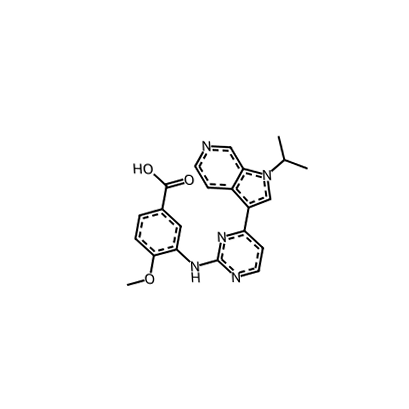 COc1ccc(C(=O)O)cc1Nc1nccc(-c2cn(C(C)C)c3cnccc23)n1